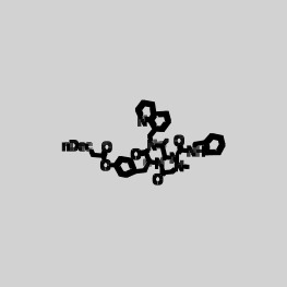 CCCCCCCCCCCC(=O)Oc1ccc(C[C@H]2C(=O)N(Cc3cccc4cccnc34)[C@@H](C)C3N2C(=O)CN(C)N3C(=O)NCc2ccccc2)cc1